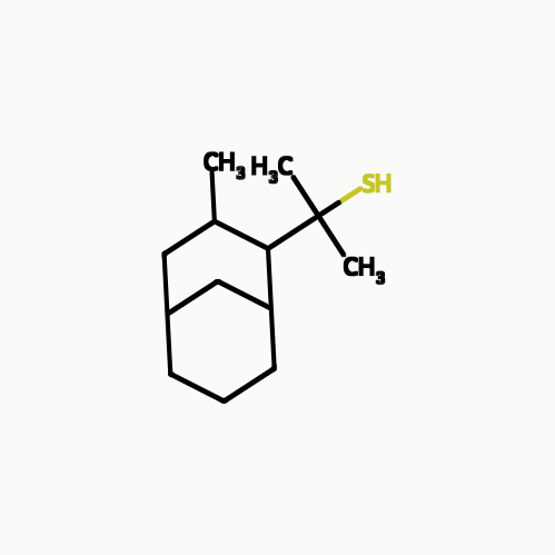 CC1CC2CCCC(C2)C1C(C)(C)S